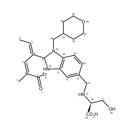 C/C=C(\C=C(\C)C(=O)CC)C1Nc2cc(CN[C@@H](CO)C(=O)O)ccc2N1CC1CCOCC1